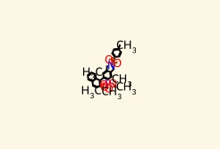 CCOP(=O)(OCC)c1c(C)c2c(c(C)c1-c1c(OC)ccc3ccccc13)CN(S(=O)(=O)c1ccc(C)cc1)C2